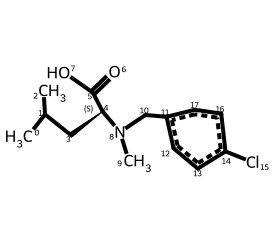 CC(C)C[C@@H](C(=O)O)N(C)Cc1ccc(Cl)cc1